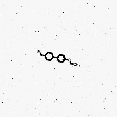 CCOc1ccc(C2CCC(CBr)CC2)cc1